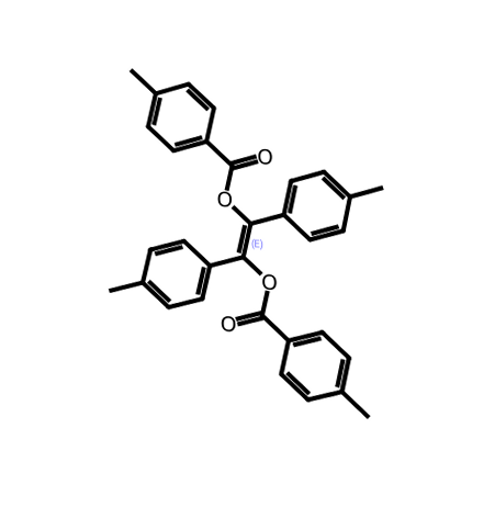 Cc1ccc(C(=O)O/C(=C(/OC(=O)c2ccc(C)cc2)c2ccc(C)cc2)c2ccc(C)cc2)cc1